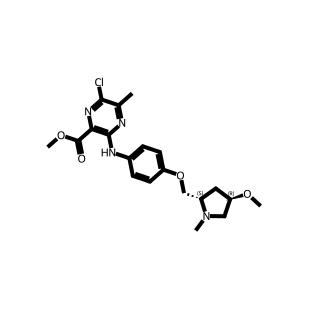 COC(=O)c1nc(Cl)c(C)nc1Nc1ccc(OC[C@@H]2C[C@@H](OC)CN2C)cc1